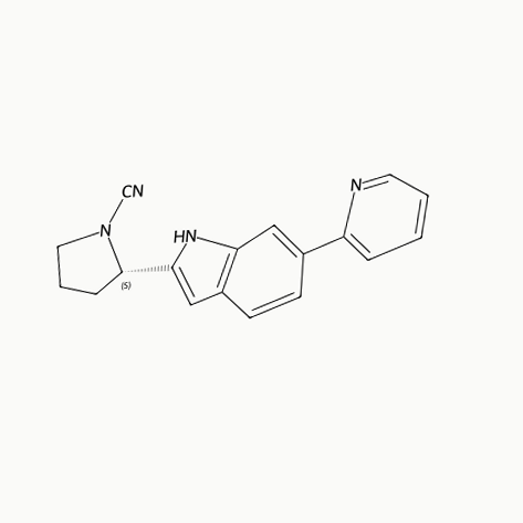 N#CN1CCC[C@H]1c1cc2ccc(-c3ccccn3)cc2[nH]1